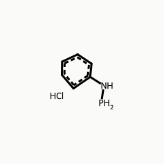 Cl.PNc1ccccc1